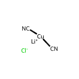 N#[C][Cu][C]#N.[Cl-].[Li+]